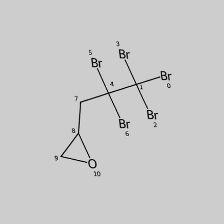 BrC(Br)(Br)C(Br)(Br)CC1CO1